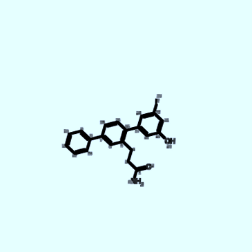 NC(=O)CCc1cc(-c2ccccc2)ccc1-c1cc(O)cc(F)c1